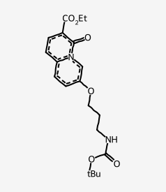 CCOC(=O)c1ccc2ccc(OCCCNC(=O)OC(C)(C)C)cn2c1=O